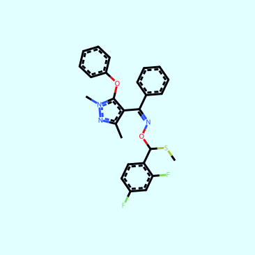 CSC(ON=C(c1ccccc1)c1c(C)nn(C)c1Oc1ccccc1)c1ccc(F)cc1F